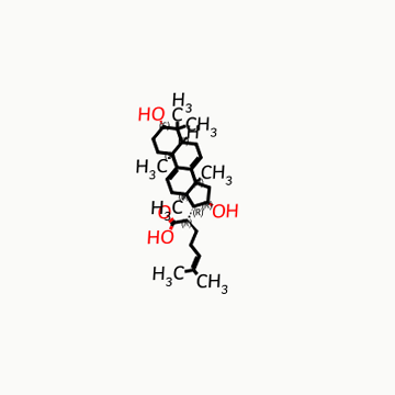 CC(C)=CCC[C@@H](C(=O)O)[C@H]1[C@H](O)C[C@@]2(C)C3=CC[C@H]4C(C)(C)[C@@H](O)CC[C@]4(C)C3=CC[C@]12C